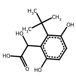 CC(C)(C)c1c(O)ccc(O)c1C(O)C(=O)O